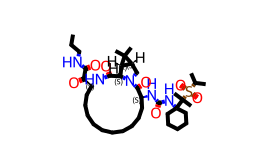 CCCNC(=O)C(=O)[C@@H]1CCCCCCCCCC[C@H](NC(=O)NC2(C(C)(C)S(=O)(=O)C(C)C)CCCCC2)C(=O)N2C[C@H]3[C@@H]([C@H]2C(=O)N1)C3(C)C